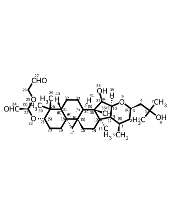 C[C@@H]1C[C@H](CC(C)(C)O)O[C@H]2C1[C@@]1(C)CC[C@@]34C[C@@]35CC[C@H](O[C@@H](C=O)OCC=O)C(C)(C)[C@@H]5CC[C@H]4[C@]1(C)[C@H]2O